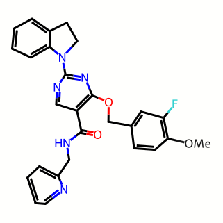 COc1ccc(COc2nc(N3CCc4ccccc43)ncc2C(=O)NCc2ccccn2)cc1F